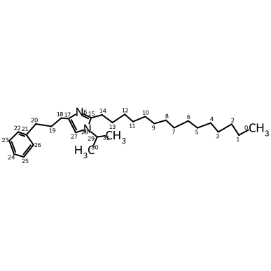 CCCCCCCCCCCCCCCc1nc(CCCc2ccccc2)cn1C(C)C